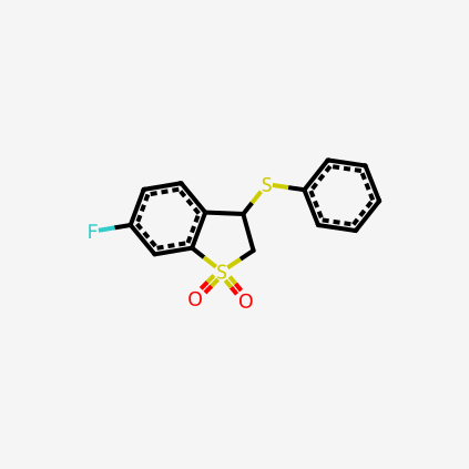 O=S1(=O)CC(Sc2ccccc2)c2ccc(F)cc21